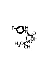 CC(C)[S+]([O-])C[C@H](Nc1ccc(F)cc1)C(=O)O